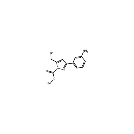 CC(C)(C)OC(=O)n1nc(-c2cccc(N)c2)cc1CBr